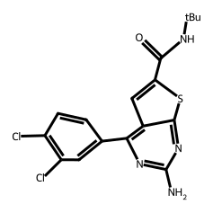 CC(C)(C)NC(=O)c1cc2c(-c3ccc(Cl)c(Cl)c3)nc(N)nc2s1